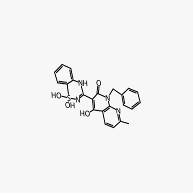 Cc1ccc2c(O)c(C3=NS(O)(O)c4ccccc4N3)c(=O)n(Cc3ccccc3)c2n1